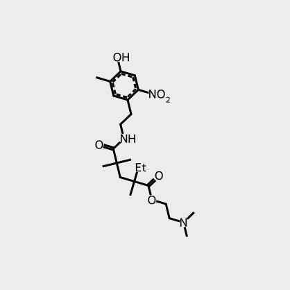 CCC(C)(CC(C)(C)C(=O)NCCc1cc(C)c(O)cc1[N+](=O)[O-])C(=O)OCCN(C)C